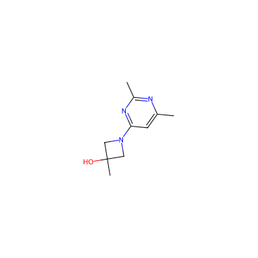 Cc1cc(N2CC(C)(O)C2)nc(C)n1